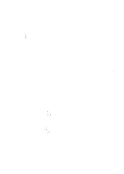 CC(Oc1ccc(Cl)cc1-c1csnn1)C(=O)O